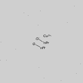 CCC[O-].CCC[O-].[Cu+2]